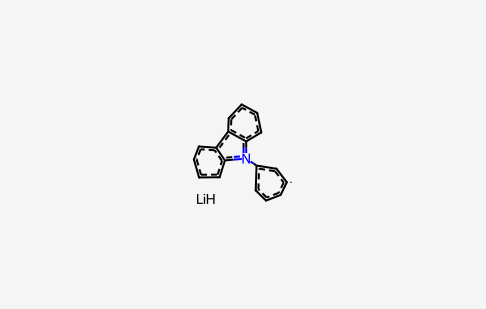 [LiH].[c]1cccc(-n2c3ccccc3c3ccccc32)c1